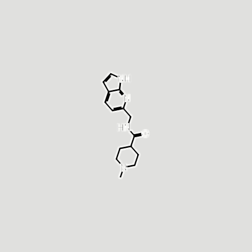 CN1CCC(C(=O)NCc2ccc3cc[nH]c3n2)CC1